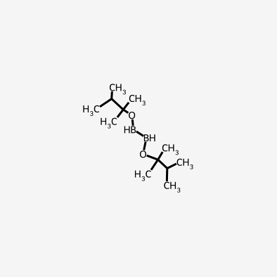 CC(C)C(C)(C)OBBOC(C)(C)C(C)C